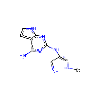 CCN/C=C(\C=N)Nc1nc(N)c2cc[nH]c2n1